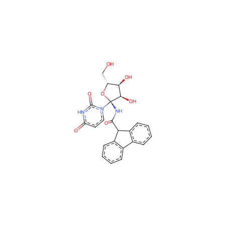 O=C(N[C@@]1(n2ccc(=O)[nH]c2=O)O[C@H](CO)[C@@H](O)[C@H]1O)C1c2ccccc2-c2ccccc21